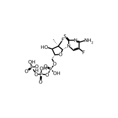 C[C@@]1(F)C(O)[C@@H](COP(=O)(O)OP(=O)(O)OP(=O)(O)O)O[C@H]1n1cc(F)c(N)nc1=S